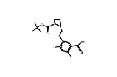 Cc1cc(F)c(OC[C@@H]2CCN2C(=O)OC(C)(C)C)cc1C(=O)O